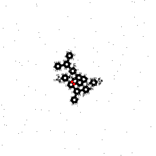 C[Si](C)(C)c1ccc(N(c2cc(-c3cc(-c4ccccc4)cc(-c4ccccc4)c3)c(F)cc2F)c2ccc3ccc4c(N(c5ccc([Si](C)(C)C)cc5)c5cc(-c6cc(-c7ccccc7)cc(-c7ccccc7)c6)c(F)cc5F)ccc5ccc2c3c54)cc1